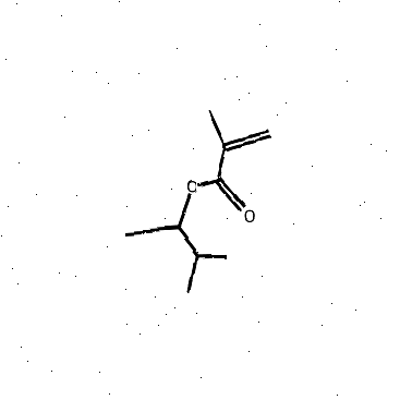 C=C(C)C(=O)OC(C)[C](C)C